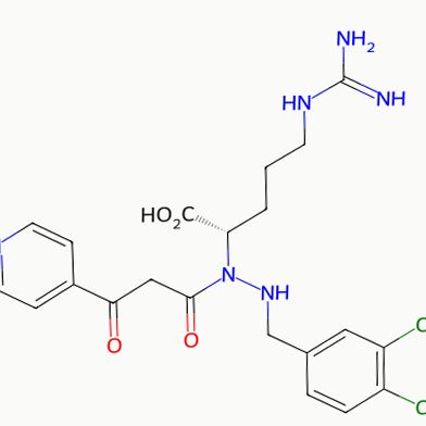 N=C(N)NCCC[C@@H](C(=O)O)N(NCc1ccc(Cl)c(Cl)c1)C(=O)CC(=O)c1ccncc1